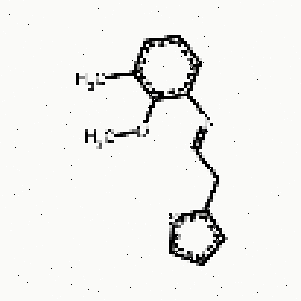 COc1c(C)cccc1N=CCc1cccs1